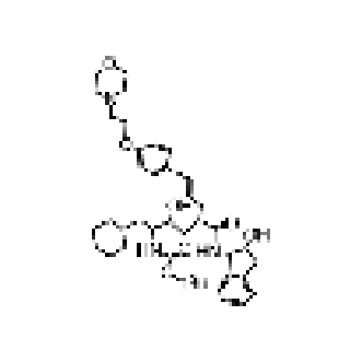 CC(C)(C)OC(=O)NC(CC1CCCCC1)C(O)CC(C/C=C/c1ccc(OCCN2CCOCC2)cc1)C(=O)NC1c2ccccc2CC1O